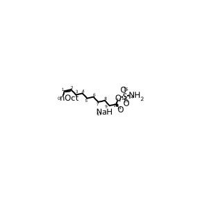 CCCCCCCC/C=C\CCCCCCCC(=O)OS(N)(=O)=O.[NaH]